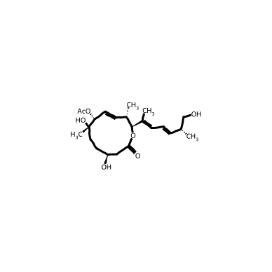 CC(=O)O[C@@H]1/C=C/[C@H](C)[C@@H](/C(C)=C/C=C/[C@@H](C)CO)OC(=O)C[C@@H](O)CC[C@]1(C)O